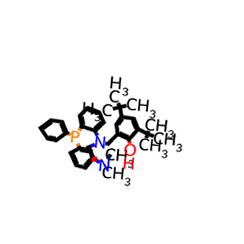 CN(C)CCN(Cc1cc(C(C)(C)C)cc(C(C)(C)C)c1O)c1ccccc1P(c1ccccc1)c1ccccc1